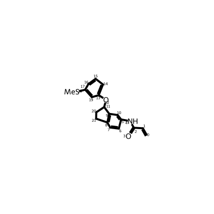 C=CC(=O)Nc1ccc2c(c1)C(Oc1cccc(SC)c1)CC2